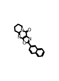 O=c1c2nc(-c3ccc4ccccc4c3)oc2nc2n1CCCC2